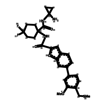 COc1cc(-c2ccc3cc(C(=O)NC4(C(=O)NC5(N)CC5)CCC(F)(F)CC4)oc3c2)ccc1CSC